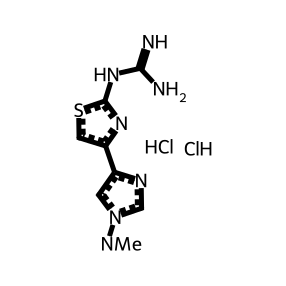 CNn1cnc(-c2csc(NC(=N)N)n2)c1.Cl.Cl